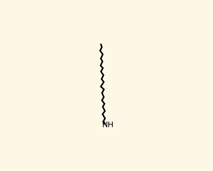 CCCCCCCCCCCCCCCCCCCCCCC=N